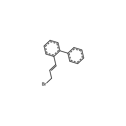 BrCC=Cc1ccccc1-c1ccccc1